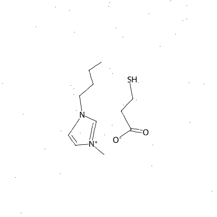 CCCCn1cc[n+](C)c1.O=C([O-])CCS